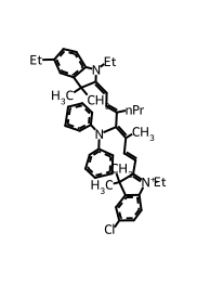 CCCC(=C\C=C1\N(CC)c2ccc(CC)cc2C1(C)C)/C(=C(C)/C=C/C1=[N+](CC)c2ccc(Cl)cc2C1(C)C)N(c1ccccc1)c1ccccc1